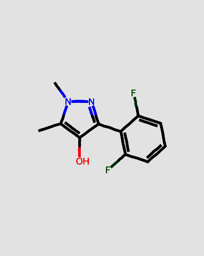 Cc1c(O)c(-c2c(F)cccc2F)nn1C